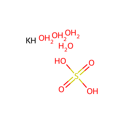 O.O.O.O.O=S(=O)(O)O.[KH]